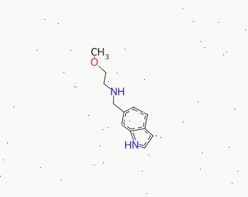 COCCNCc1ccc2[c]c[nH]c2c1